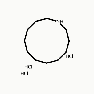 C1CCCCCNCCCCC1.Cl.Cl.Cl